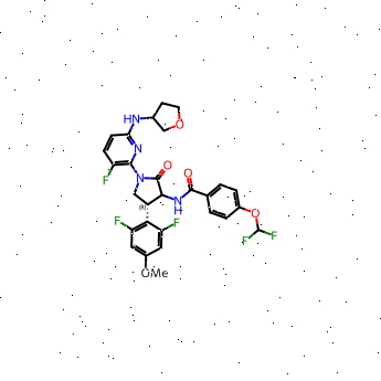 COc1cc(F)c([C@@H]2CN(c3nc(NC4CCOC4)ccc3F)C(=O)C2NC(=O)c2ccc(OC(F)F)cc2)c(F)c1